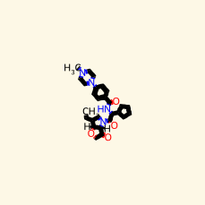 CCC1CN(C(=O)C(NC(=O)c2ccc(N3CCN(C)CC3)cc2)C2CCCC2)[C@@H]2C(=O)CO[C@H]12